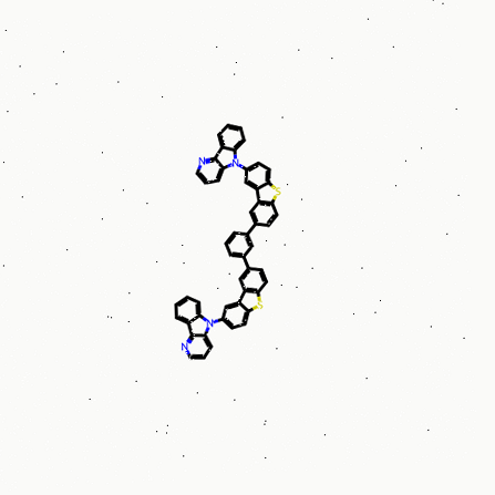 c1cc(-c2ccc3sc4ccc(-n5c6ccccc6c6ncccc65)cc4c3c2)cc(-c2ccc3sc4ccc(-n5c6ccccc6c6ncccc65)cc4c3c2)c1